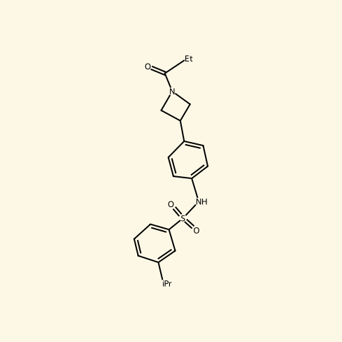 CCC(=O)N1CC(c2ccc(NS(=O)(=O)c3cccc(C(C)C)c3)cc2)C1